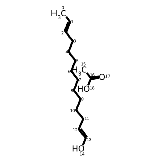 C/C=C/CCCCCCCCC/C=C/O.CC(=O)O